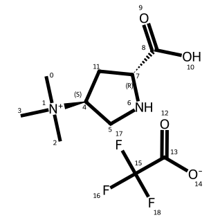 C[N+](C)(C)[C@@H]1CN[C@@H](C(=O)O)C1.O=C([O-])C(F)(F)F